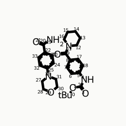 CC(C)(C)OC(=O)Nc1ccc(C(=O)N2CCCCC2)cc1.NC(=O)c1ccc(N2CCOCC2)cc1